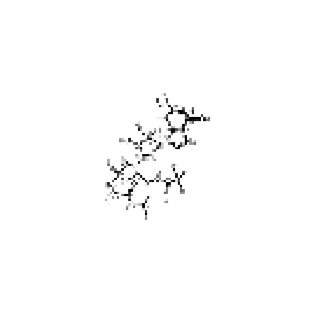 CC(C)OC(=O)[C@H](C)NP(=S)(OCCSC(=O)C(C)(C)C)OC[C@H]1O[C@@H](n2cnc3c(=O)[nH]c(N)nc32)[C@@](F)(Cl)[C@@H]1O